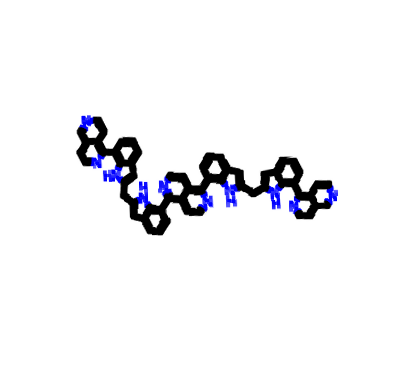 c1cc(-c2nccc3cnccc23)c2[nH]c(Cc3cc4cccc(-c5nccc6c(-c7cccc8cc(Cc9cc%10cccc(-c%11nccc%12cnccc%11%12)c%10[nH]9)[nH]c78)nccc56)c4[nH]3)cc2c1